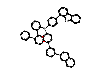 c1ccc(-c2ccccc2-c2ccccc2N(c2ccc(-c3cccc(-c4ccc5ccccc5c4)c3)cc2)c2ccc(-c3cccc4c3oc3ccccc34)cc2)cc1